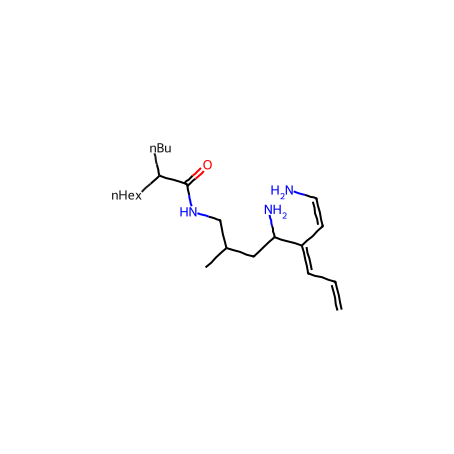 C=C/C=C(\C=C/N)C(N)CC(C)CNC(=O)C(CCCC)CCCCCC